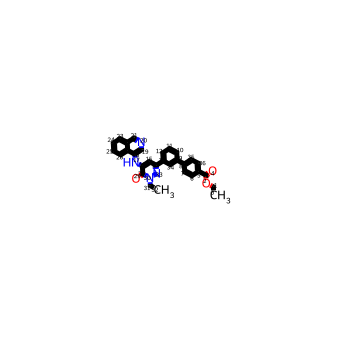 CCOC(=O)c1ccc(-c2cccc(-c3cc(Nc4cncc5ccccc45)c(=O)n(CC)n3)c2)cc1